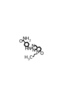 CCCCn1c(=O)ccc2cnc(Nc3ccc(C(N)=O)cc3)nc21